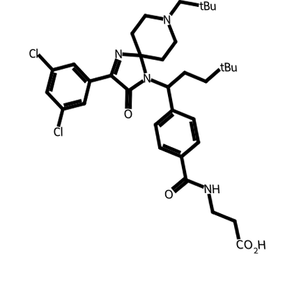 CC(C)(C)CCC(c1ccc(C(=O)NCCC(=O)O)cc1)N1C(=O)C(c2cc(Cl)cc(Cl)c2)=NC12CCN(CC(C)(C)C)CC2